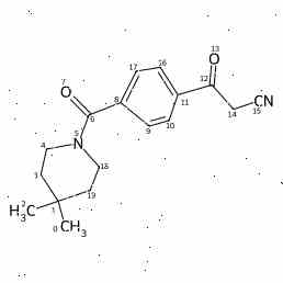 CC1(C)CCN(C(=O)c2ccc(C(=O)CC#N)cc2)CC1